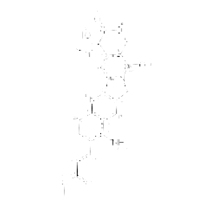 CC[C@@]1(O)C(=O)OCc2c1cc1n(c2=O)Cc2cc3c(N)c(C=CC(=O)OC)ccc3nc2-1